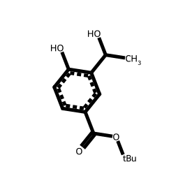 CC(O)c1cc(C(=O)OC(C)(C)C)ccc1O